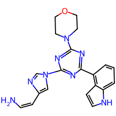 N/C=C\c1cn(-c2nc(-c3cccc4[nH]ccc34)nc(N3CCOCC3)n2)cn1